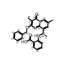 Cc1cc([C@@H](C)Nc2ccccc2C(=O)O)c2nc(OCc3ccccc3)c(C)c(=O)n2c1